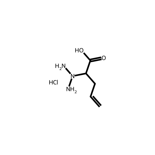 C=CCC(C(=O)O)N(N)N.Cl